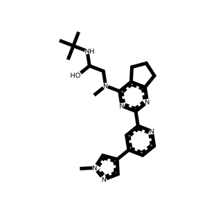 CN(CC(O)NC(C)(C)C)c1nc(-c2cc(-c3cnn(C)c3)ccn2)nc2c1CCC2